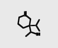 CC(C)C1(C(C)S)CCCNC1